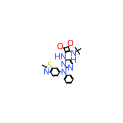 Cc1nc2ccc(N(c3ccccc3)c3nccc(Nc4c(NC(C)(C)C)c(=O)c4=O)n3)cc2s1